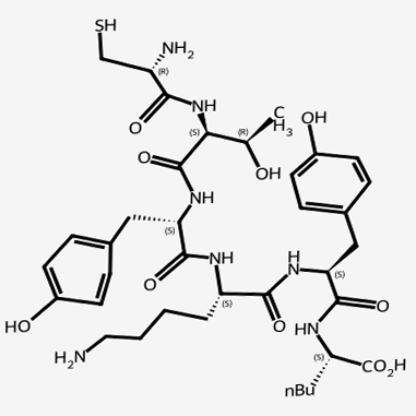 CCCC[C@H](NC(=O)[C@H](Cc1ccc(O)cc1)NC(=O)[C@H](CCCCN)NC(=O)[C@H](Cc1ccc(O)cc1)NC(=O)[C@@H](NC(=O)[C@@H](N)CS)[C@@H](C)O)C(=O)O